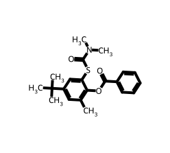 Cc1cc(C(C)(C)C)cc(SC(=O)N(C)C)c1OC(=O)c1ccccc1